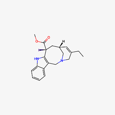 CCC1=C[C@@H]2CN(C1)Cc1c([nH]c3ccccc13)[C@](I)(C(=O)OC)C2